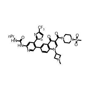 CCCNC(=O)Nc1cc(-c2nc(C(F)(F)F)cs2)c(-c2ccc3c(c2)c(=O)c(C(=O)N2CCN(S(C)(=O)=O)CC2)cn3C2CN(C)C2)cn1